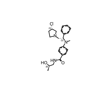 C[C@@H](O)CNC(=O)c1ccc(N(C)[C@H](CN2CC[C@H](Cl)C2)c2ccccc2)cc1